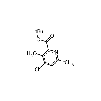 Cc1cc(Cl)c(C)c(C(=O)OC(C)(C)C)n1